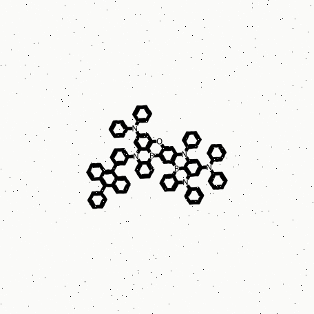 c1ccc(-c2c3ccccc3c(-c3cccc(N4c5ccccc5B5c6cc7c(cc6Oc6cc(N(c8ccccc8)c8ccccc8)cc4c65)N(c4ccccc4)c4cc(N(c5ccccc5)c5ccccc5)cc5c4B7c4ccccc4N5c4ccccc4)c3)c3ccccc23)cc1